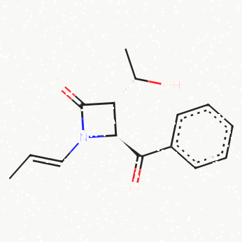 CC=CN1C(=O)[C@H](C(C)O)[C@H]1C(=O)c1ccccc1